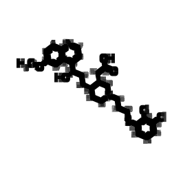 COc1ccc2nccc([C@@H](O)CC[C@@H]3CCN(CCCSc4cccc(Cl)c4Cl)C[C@@H]3CC(=O)O)c2c1